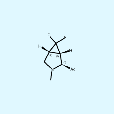 CC(=O)[C@@H]1[C@@H]2[C@H](CN1C)C2(F)F